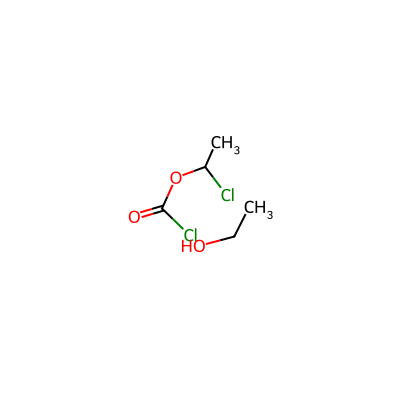 CC(Cl)OC(=O)Cl.CCO